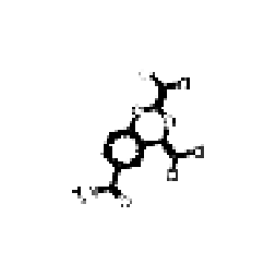 NC(=O)c1ccc2c(c1)C(=C(Cl)Cl)OC(=C(Cl)Cl)O2